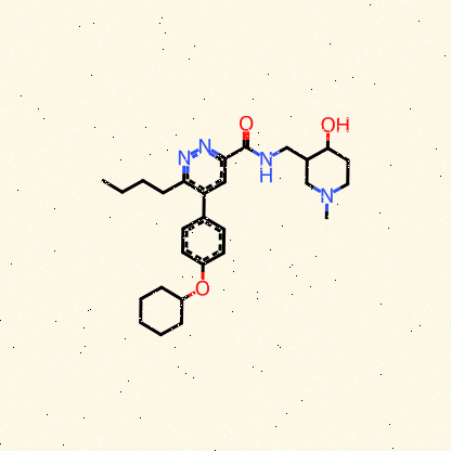 CCCCc1nnc(C(=O)NCC2CN(C)CCC2O)cc1-c1ccc(OC2CCCCC2)cc1